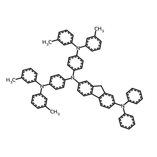 Cc1cccc(N(c2ccc(N(c3ccc(N(c4cccc(C)c4)c4cccc(C)c4)cc3)c3ccc4c(c3)Cc3cc(N(c5ccccc5)c5ccccc5)ccc3-4)cc2)c2cccc(C)c2)c1